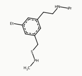 CCc1cc(CCNC(C)C)cc(CSPC)c1